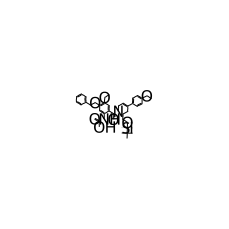 COc1ccc(C2=CCN(C(=O)c3cc(OC)c(OCc4ccccc4)cc3NC(=O)O)C(CO[Si](C)(C)C(C)(C)C)C2)cc1